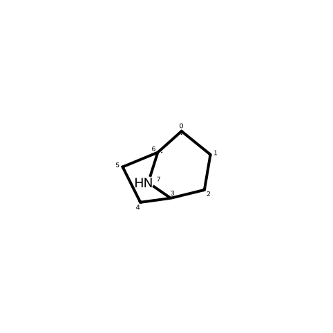 [CH]1CCC2CC[C]1N2